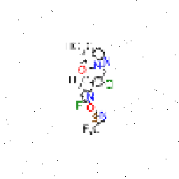 Cc1cc(Cc2nc3ccc(C(=O)O)cc3n2C[C@@H]2CCO2)c(Cl)cc1-c1ccc(F)c(OCc2ncc(C(F)(F)F)s2)n1